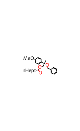 CCCCCCCC(=O)OCC(C)(OCc1ccccc1)c1ccc(OC)cc1